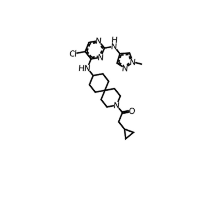 Cn1cc(Nc2ncc(Cl)c(NC3CCC4(CC3)CCN(C(=O)CC3CC3)CC4)n2)cn1